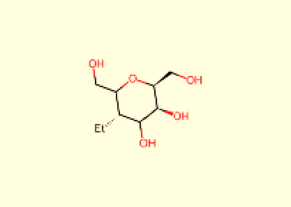 CC[C@@H]1C(CO)O[C@@H](CO)[C@@H](O)C1O